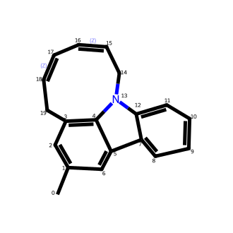 Cc1cc2c3c(c1)c1ccccc1n3C/C=C\C=C/C2